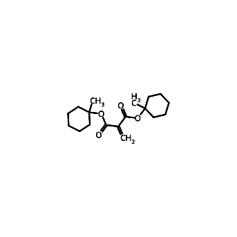 C=C(C(=O)OC1(C)CCCCC1)C(=O)OC1(C)CCCCC1